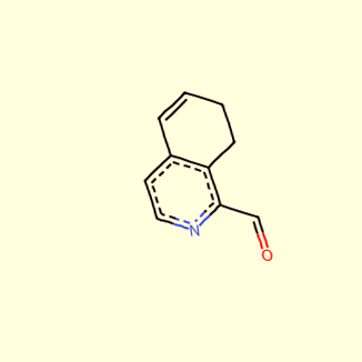 O=Cc1nccc2c1CCC=C2